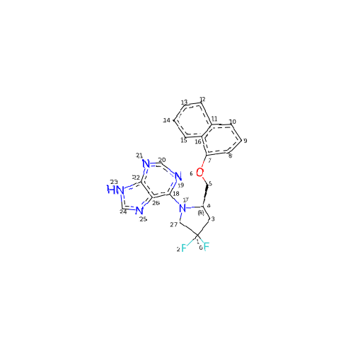 FC1(F)C[C@H](COc2cccc3ccccc23)N(c2ncnc3[nH]cnc23)C1